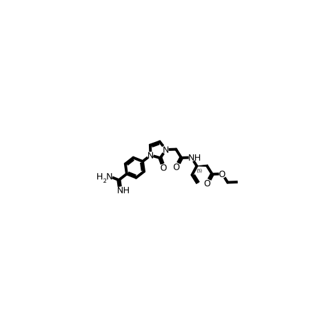 C=C[C@H](CC(=O)OCC)NC(=O)Cn1ccn(-c2ccc(C(=N)N)cc2)c1=O